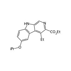 CCOC(=O)c1ncc2[nH]c3ccc(OC(C)C)cc3c2c1CC